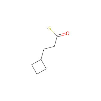 O=C([S])CCC1CCC1